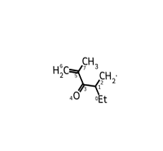 [CH2]CC([CH2])C(=O)C(=C)C